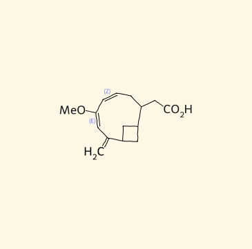 C=C1/C=C(OC)\C=C/CC(CC(=O)O)C2CC1C2